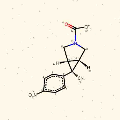 N#C[C@@]1(c2ccc([N+](=O)[O-])cc2)[C@@H]2CN(C(=O)C(F)(F)F)C[C@@H]21